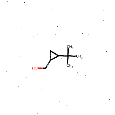 CC(C)(C)C1CC1CO